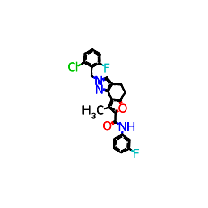 Cc1c(C(=O)Nc2cccc(F)c2)oc2c1-c1nn(Cc3c(F)cccc3Cl)cc1CC2